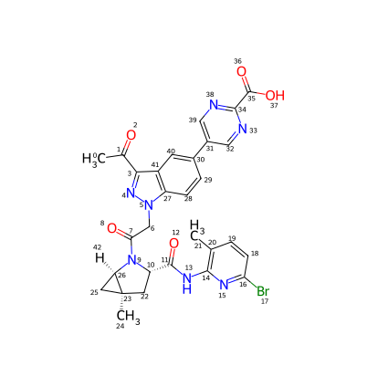 CC(=O)c1nn(CC(=O)N2[C@H](C(=O)Nc3nc(Br)ccc3C)C[C@@]3(C)C[C@@H]23)c2ccc(-c3cnc(C(=O)O)nc3)cc12